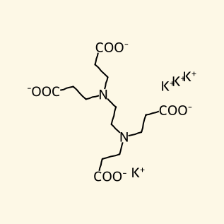 O=C([O-])CCN(CCC(=O)[O-])CCN(CCC(=O)[O-])CCC(=O)[O-].[K+].[K+].[K+].[K+]